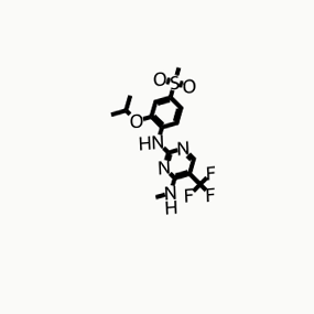 CNc1nc(Nc2ccc(S(C)(=O)=O)cc2OC(C)C)ncc1C(F)(F)F